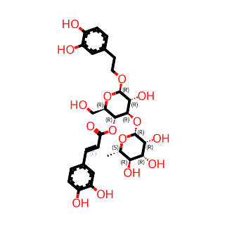 C[C@@H]1O[C@H](O[C@@H]2[C@@H](O)[C@H](OCCc3ccc(O)c(O)c3)O[C@H](CO)[C@H]2OC(=O)/C=C/c2ccc(O)c(O)c2)[C@H](O)[C@H](O)[C@H]1O